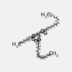 CCCCC/C=C\C/C=C\CCCCCCCC(=O)OCCN(CCOC(=O)CCCCCCCC)CCOC(=O)CCCCCCC/C=C\C/C=C\CCCCC